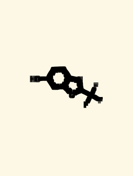 Oc1ccc2nc(C(F)(F)F)oc2c1